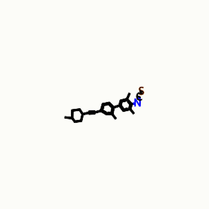 Cc1cc(C#CC2CCC(C)CC2)ccc1-c1cc(C)c(N=C=S)c(C)c1